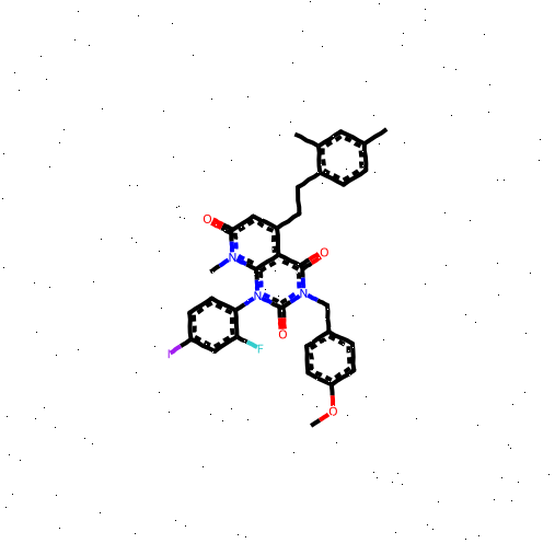 COc1ccc(Cn2c(=O)c3c(CCc4ccc(C)cc4C)cc(=O)n(C)c3n(-c3ccc(I)cc3F)c2=O)cc1